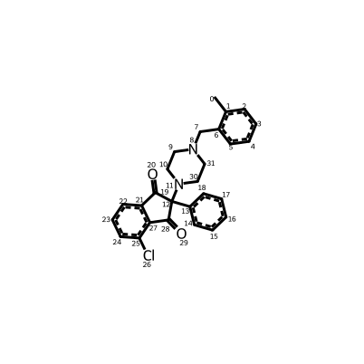 Cc1ccccc1CN1CCN(C2(c3ccccc3)C(=O)c3cccc(Cl)c3C2=O)CC1